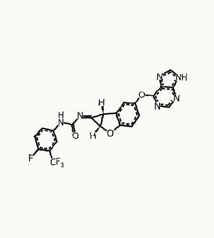 O=C(/N=C1\[C@H]2Oc3ccc(Oc4ncnc5[nH]cnc45)cc3[C@@H]12)Nc1ccc(F)c(C(F)(F)F)c1